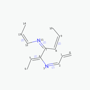 C=C\C=N/C(=C\C)C(/C=C\C)=N\C=C/C